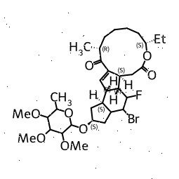 CC[C@H]1CCCC[C@@H](C)C(=O)C2=C[C@@H]3[C@@H](C(F)C(Br)C4C[C@@H](OC5OC(C)C(OC)C(OC)C5OC)C[C@H]43)[C@@H]2CC(=O)O1